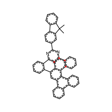 CC1(C)c2ccccc2-c2ccc(-c3nc(-c4ccccc4)nc(-c4ccccc4-c4cc5c6ccccc6c6ccccc6c5c5ccccc45)n3)cc21